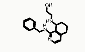 OCCNC1CCCc2ccnc(NCc3ccccc3)c21